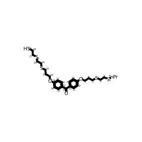 CCCSCCSCCCOc1ccc(C(=O)c2ccc(OCCCSCCSCCS)cc2)cc1